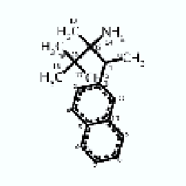 CC(c1ccc2ccccc2c1)C(C)(N)C(C)(C)C